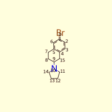 Brc1ccc2c(c1)CCC(N1CCCC1)C2